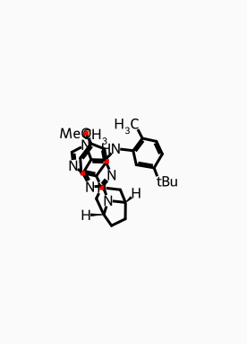 COc1ccc(N2C[C@H]3CC[C@@H](C2)N3c2nc(Nc3cc(C(C)(C)C)ccc3C)c3c(ncn3C)n2)cc1